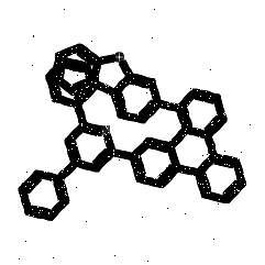 c1ccc(-c2cc(-c3ccccc3)nc(-c3ccc4c5ccccc5c5cccc(-c6ccc7c(c6)oc6ccccc67)c5c4c3)c2)cc1